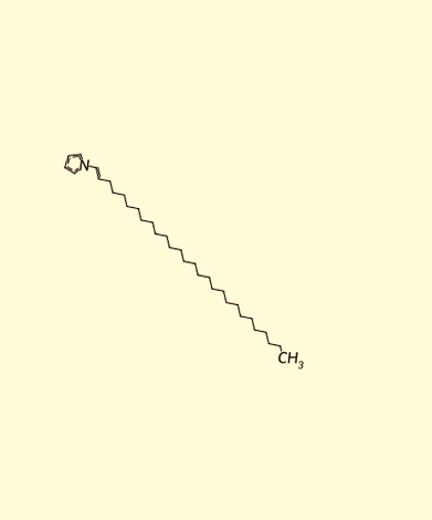 CCCCCCCCCCCCCCCCCCCCCCCCCCC=Cn1cccc1